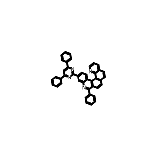 c1ccc(-c2cc(-c3ccccc3)nc(-c3ccc4c(c3)nc(-c3ccccc3)c3ccc5ccc6cccnc6c5c34)n2)cc1